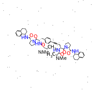 CN[C@@H](C)C(=O)N[C@@H](CC#Cc1ccc(C[C@H](NOC[C@H](C)NC)C(=O)N2CCC[C@H]2C(=O)N[C@@H]2CCCc3ccccc32)cc1)C(=O)N1CCC[C@H]1C(=O)N[C@@H]1CCCc2ccccc21